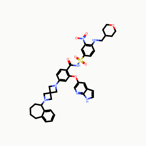 O=C(NS(=O)(=O)c1ccc(NCC2CCOCC2)c([N+](=O)[O-])c1)c1ccc(N2CC3(C2)CN(C2CCCCc4ccccc42)C3)cc1Oc1cnc2[nH]ccc2c1